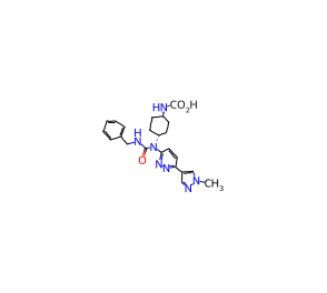 Cn1cc(-c2ccc(N(C(=O)NCc3ccccc3)[C@H]3CC[C@H](NC(=O)O)CC3)nn2)cn1